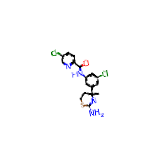 CC1(c2cc(Cl)cc(NC(=O)c3ccc(Cl)cn3)c2)CCSC(N)=N1